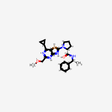 COCc1nc(C2CC2)c2sc(N3CCC[C@@H]3C(=O)N[C@H](C)c3ccccc3)nc2n1